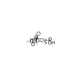 CCCOC(=O)[C@H](CC)NP(=O)(Cc1ccc2sc(C(=O)O)cc2c1)Oc1ccccc1